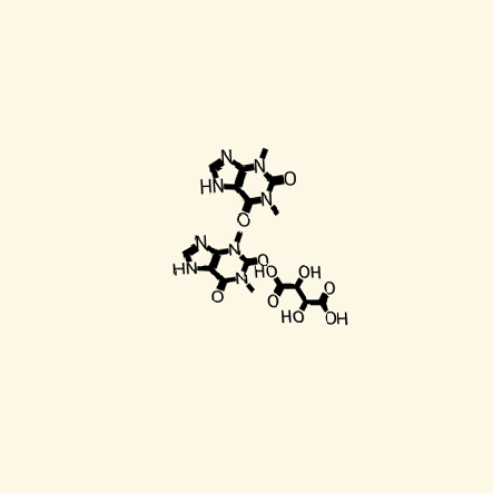 Cn1c(=O)c2[nH]cnc2n(C)c1=O.Cn1c(=O)c2[nH]cnc2n(C)c1=O.O=C(O)C(O)C(O)C(=O)O